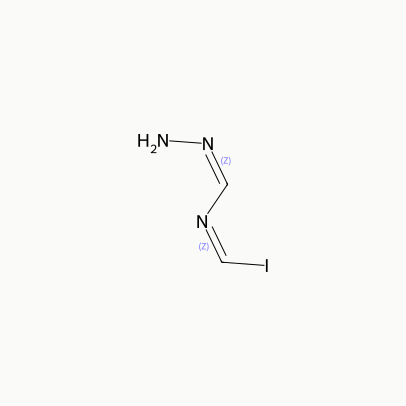 N/N=C\N=C/I